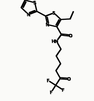 CCc1sc(-c2nccs2)nc1C(=O)NCCCCC(=O)C(F)(F)F